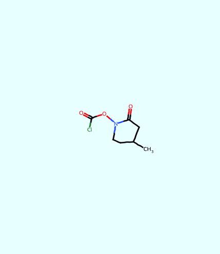 CC1CCN(OC(=O)Cl)C(=O)C1